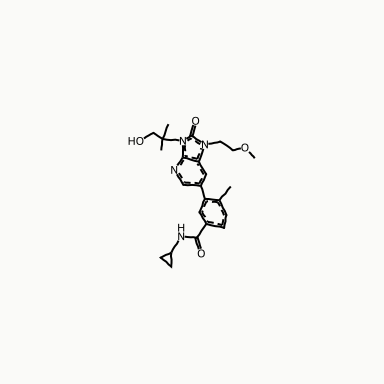 COCCn1c(=O)n(C(C)(C)CO)c2ncc(-c3cc(C(=O)NC4CC4)ccc3C)cc21